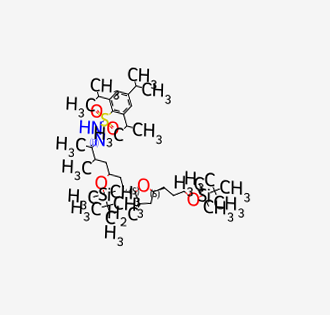 C=C1C[C@H](CCCO[Si](C)(C)C(C)(C)C)O[C@H]1CCC(CC(C)/C(C)=N/NS(=O)(=O)c1c(C(C)C)cc(C(C)C)cc1C(C)C)O[Si](C)(C)C(C)(C)C